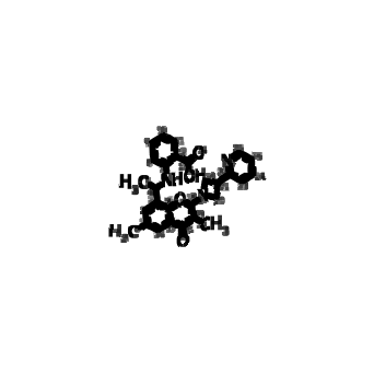 Cc1cc(C(C)Nc2ccccc2C(=O)O)c2oc(N3CC(c4ccccn4)C3)c(C)c(=O)c2c1